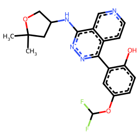 CC1(C)CC(Nc2nnc(-c3cc(OC(F)F)ccc3O)c3ccncc23)CO1